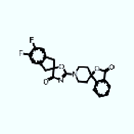 O=C1OC2(CCN(C3=NC(=O)C4(Cc5cc(F)c(F)cc5C4)O3)CC2)c2ccccc21